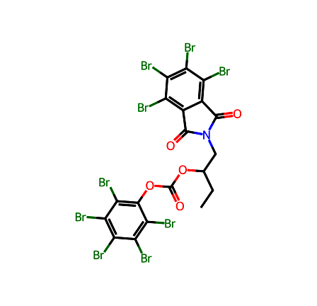 CCC(CN1C(=O)c2c(Br)c(Br)c(Br)c(Br)c2C1=O)OC(=O)Oc1c(Br)c(Br)c(Br)c(Br)c1Br